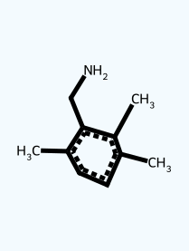 Cc1ccc(C)c(CN)c1C